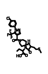 CCC(C(=O)O)N1C(=O)C(CCSC)NC12CCN(C(=O)c1cnn(-c3ccc(Cl)cc3)c1C(F)(F)F)CC2